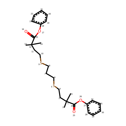 CC(C)(CCSCCCSCCC(C)(C)C(=O)Oc1ccccc1)C(=O)Oc1ccccc1